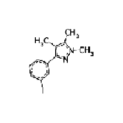 Cc1c(-c2cccc(I)c2)nn(C)c1C